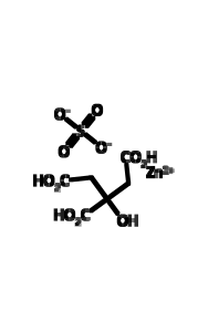 O=C(O)CC(O)(CC(=O)O)C(=O)O.O=S(=O)([O-])[O-].[Zn+2]